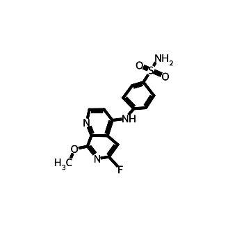 COc1nc(F)cc2c(Nc3ccc(S(N)(=O)=O)cc3)ccnc12